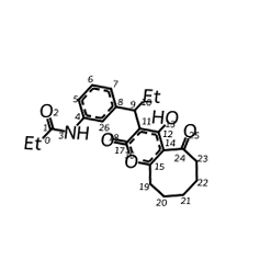 [CH2]CC(=O)Nc1cccc(C(CC)c2c(O)c3c(oc2=O)CCCCCC3=O)c1